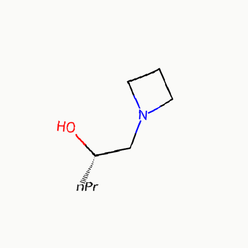 CCC[C@H](O)CN1CCC1